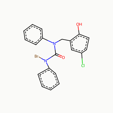 O=C(N(Br)c1ccccc1)N(Cc1cc(Cl)ccc1O)c1ccccc1